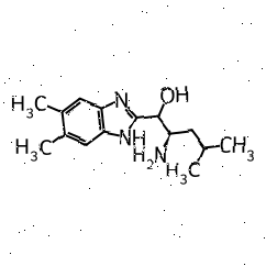 Cc1cc2nc(C(O)[C@H](N)CC(C)C)[nH]c2cc1C